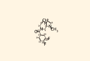 C#CCN(Cc1nccn1C)C(=O)c1ccc(F)c(F)c1